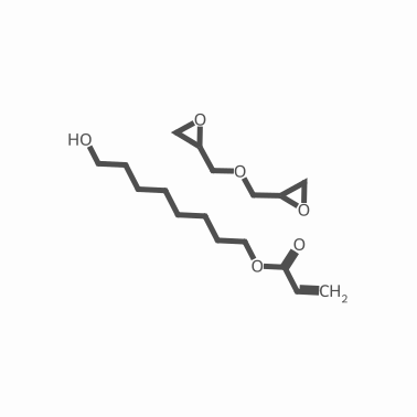 C(OCC1CO1)C1CO1.C=CC(=O)OCCCCCCCCO